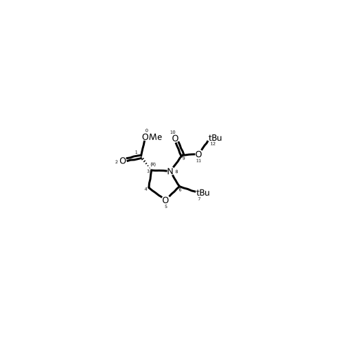 COC(=O)[C@H]1COC(C(C)(C)C)N1C(=O)OC(C)(C)C